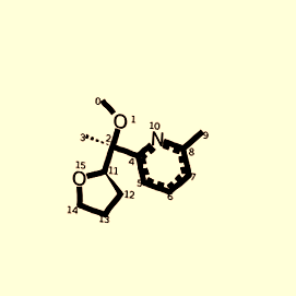 CO[C@@](C)(c1cccc(C)n1)[C@H]1CCCO1